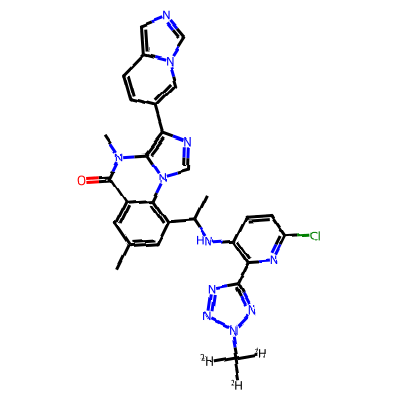 [2H]C([2H])([2H])n1nnc(-c2nc(Cl)ccc2NC(C)c2cc(C)cc3c(=O)n(C)c4c(-c5ccc6cncn6c5)ncn4c23)n1